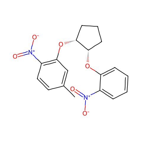 Cc1ccc([N+](=O)[O-])c(O[C@@H]2CCC[C@@H]2Oc2ccccc2[N+](=O)[O-])c1